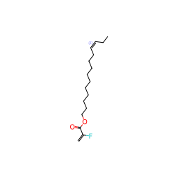 C=C(F)C(=O)OCCCCCCCCCC/C=C\CC